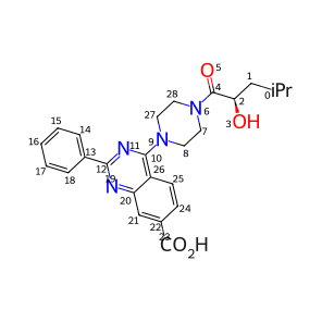 CC(C)C[C@@H](O)C(=O)N1CCN(c2nc(-c3ccccc3)nc3cc(C(=O)O)ccc23)CC1